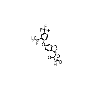 C[C@H](F)c1cc(C(F)(F)F)ccc1Oc1ccc2c(c1)CC[C@H]2[C@@H]1OC(=O)NC1=O